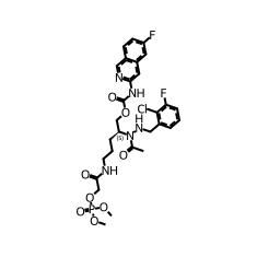 COP(=O)(OC)OCC(=O)NCCC[C@@H](COC(=O)Nc1cc2cc(F)ccc2cn1)N(NCc1cccc(F)c1Cl)C(C)=O